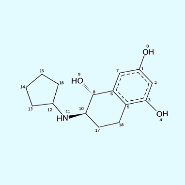 Oc1cc(O)c2c(c1)[C@@H](O)[C@H](NC1CCCC1)CC2